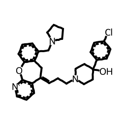 OC1(c2ccc(Cl)cc2)CCN(CCC=C2Cc3c(CN4CCCC4)cccc3Oc3ncccc32)CC1